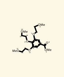 COCCOc1cc(C(=O)OC)cc(OCCOC)c1OCCOC